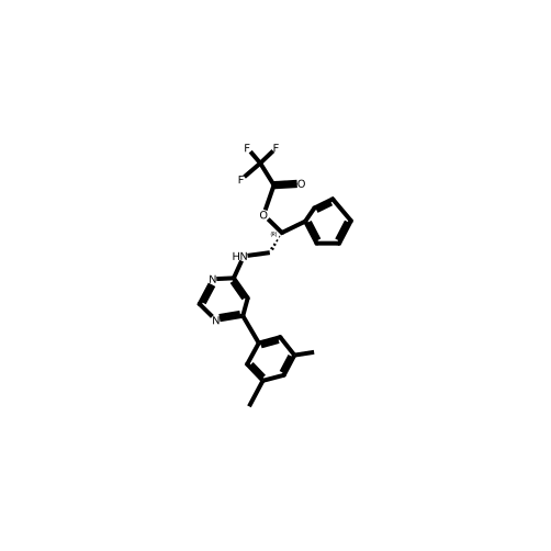 Cc1cc(C)cc(-c2cc(NC[C@H](OC(=O)C(F)(F)F)c3ccccc3)ncn2)c1